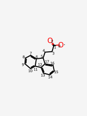 [O]C(=O)CCC1c2ccccc2-c2ccccc21